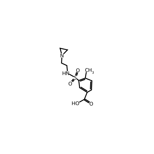 Cc1ccc(C(=O)O)cc1S(=O)(=O)NCCN1CC1